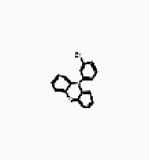 Brc1cccc(N2c3ccccc3Sc3ccccc32)c1